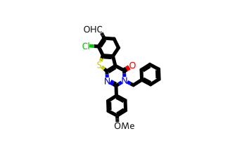 COc1ccc(-c2nc3sc4c(c3c(=O)n2Cc2ccccc2)CCC(C=O)=C4Cl)cc1